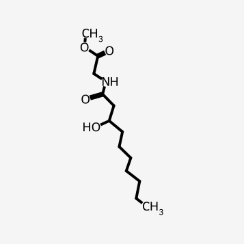 CCCCCCCC(O)CC(=O)NCC(=O)OC